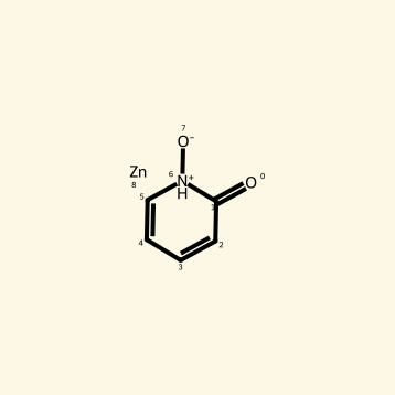 O=C1C=CC=C[NH+]1[O-].[Zn]